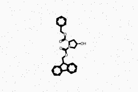 O=C(OCc1ccccc1)[C@@H]1C[C@@H](O)CN1C(=O)OCC1c2ccccc2-c2ccccc21